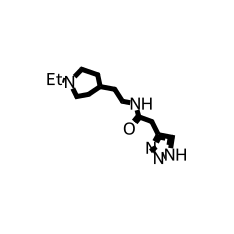 CCN1CCC(CCNC(=O)Cc2c[nH]nn2)CC1